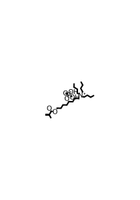 C=C(C)C(=O)OCCCCC(CCC[N+](CCCC)(CCCC)CCCC)OP(=O)(O)O